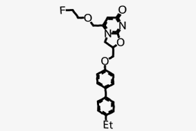 CCc1ccc(-c2ccc(OCC3Cn4c(COCCF)cc(=O)nc4O3)cc2)cc1